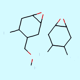 CC1CC2OC2CC1C(=O)O.CC1CC2OC2CC1COC=O